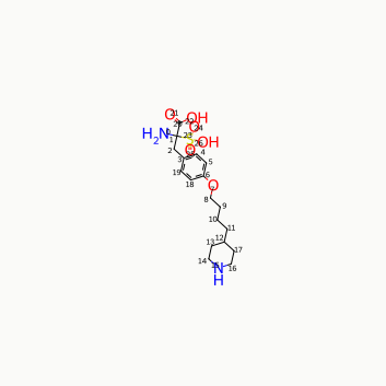 NC(Cc1ccc(OCCCCC2CCNCC2)cc1)(C(=O)O)S(=O)(=O)O